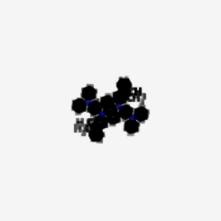 CC1(C)c2ccccc2-c2ccc(N(c3ccc(N(c4ccccc4)c4ccccc4)cc3)c3c4ccccc4c(N(c4ccc(N(c5ccccc5)c5ccccc5)cc4)c4ccc5c(c4)C(C)(C)c4ccccc4-5)c4ccccc34)cc21